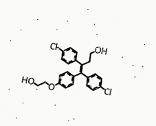 OCCOc1ccc(C(=C(CCO)c2ccc(Cl)cc2)c2ccc(Cl)cc2)cc1